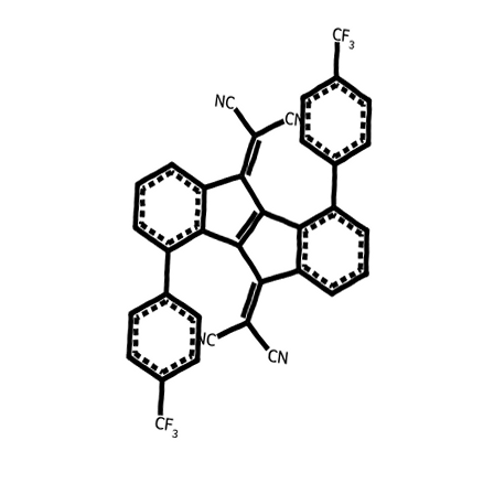 N#CC(C#N)=C1C2=C(C(=C(C#N)C#N)c3cccc(-c4ccc(C(F)(F)F)cc4)c32)c2c1cccc2-c1ccc(C(F)(F)F)cc1